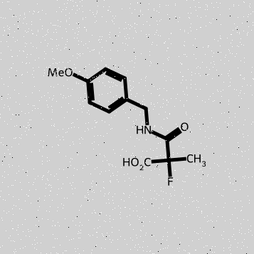 COc1ccc(CNC(=O)C(C)(F)C(=O)O)cc1